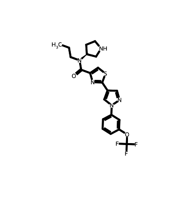 CCCN(C(=O)c1csc(-c2cnn(-c3cccc(OC(F)(F)F)c3)c2)n1)[C@H]1CCNC1